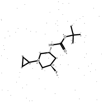 CC(C)(C)OC(=O)N[C@@H]1C[C@@H](F)CN(C2CC2)C1